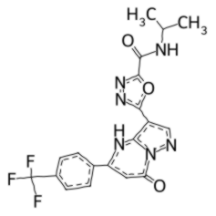 CC(C)NC(=O)c1nnc(-c2cnn3c(=O)cc(-c4ccc(C(F)(F)F)cc4)[nH]c23)o1